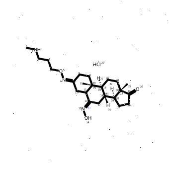 CNCCCON=C1CC[C@@]2(C)C(C1)/C(=N/O)C[C@@H]1[C@@H]2CC[C@]2(C)C(=O)CC[C@@H]12.Cl